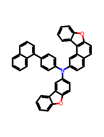 c1ccc2c(-c3ccc(N(c4ccc5oc6ccccc6c5c4)c4ccc5ccc6oc7ccccc7c6c5c4)cc3)cccc2c1